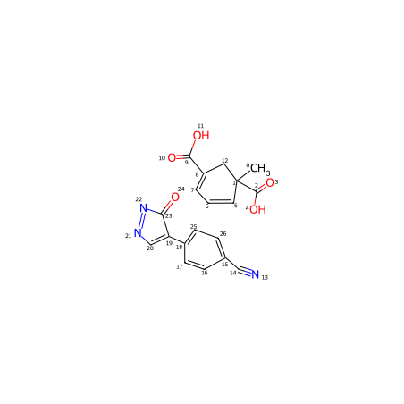 CC1(C(=O)O)C=CC=C(C(=O)O)C1.N#Cc1ccc(C2=CN=NC2=O)cc1